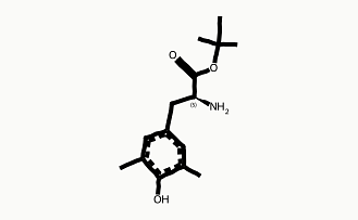 Cc1cc(C[C@H](N)C(=O)OC(C)(C)C)cc(C)c1O